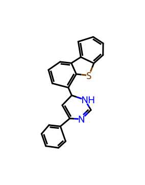 C1=NC(c2ccccc2)=CC(c2cccc3c2sc2ccccc23)N1